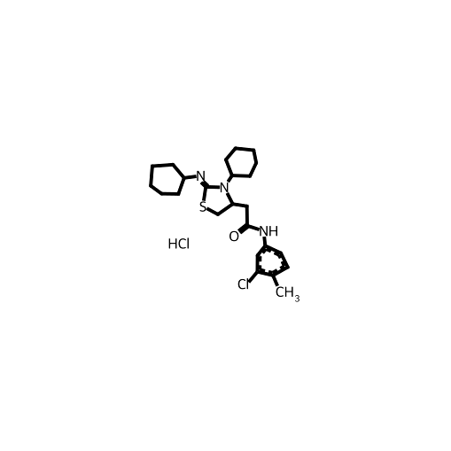 Cc1ccc(NC(=O)CC2CS/C(=N\C3CCCCC3)N2C2CCCCC2)cc1Cl.Cl